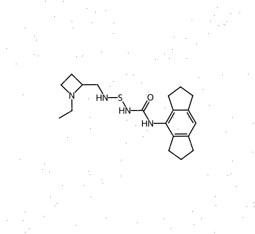 CCN1CCC1CNSNC(=O)Nc1c2c(cc3c1CCC3)CCC2